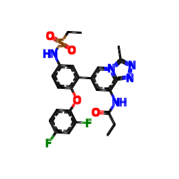 CCC(=O)Nc1cc(-c2cc(NS(=O)(=O)CC)ccc2Oc2ccc(F)cc2F)cn2c(C)nnc12